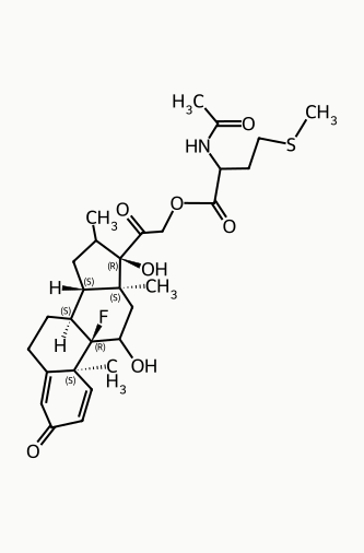 CSCCC(NC(C)=O)C(=O)OCC(=O)[C@@]1(O)C(C)C[C@H]2[C@@H]3CCC4=CC(=O)C=C[C@]4(C)[C@@]3(F)C(O)C[C@@]21C